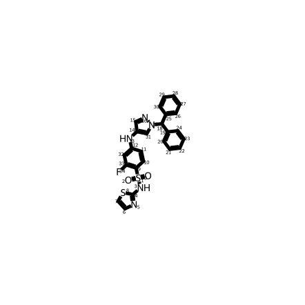 O=S(=O)(Nc1nccs1)c1ccc(Nc2cnn(C(c3ccccc3)c3ccccc3)c2)cc1F